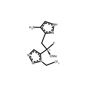 CO[C@](F)(Cc1n[nH]cc1N)c1cnnn1CC(F)(F)F